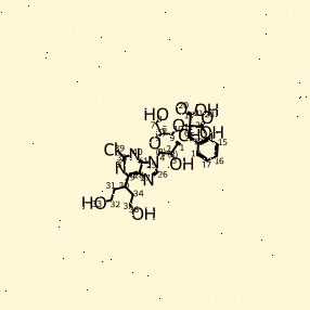 C#C[C@@H](O)[C@@H](O[C@@H](CO)COC(Cc1ccccc1)(C(=O)O)C(=O)O)n1cnc2c(C(CCO)CCO)nc(Cl)nc21